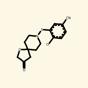 N#Cc1ccc(Cl)c(SN2CCC3(CC2)CC(=O)CO3)c1